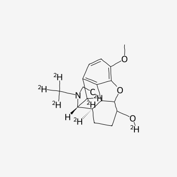 [2H]OC1CC[C@@]2([2H])[C@@H]3N(C([2H])([2H])[2H])CC[C@@]24c2c(ccc(OC)c2OC14)C3([2H])[2H]